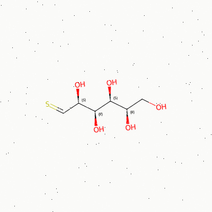 OC[C@@H](O)[C@H](O)[C@@H](O)[C@H](O)C=S